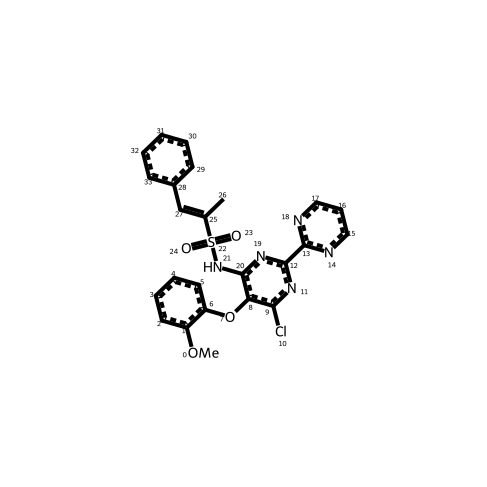 COc1ccccc1Oc1c(Cl)nc(-c2ncccn2)nc1NS(=O)(=O)/C(C)=C/c1ccccc1